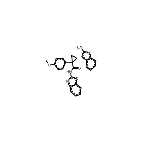 COc1ccc(C2(C(=O)Nc3nc4ccccc4s3)CC2)cc1.Nc1nc2ccccc2s1